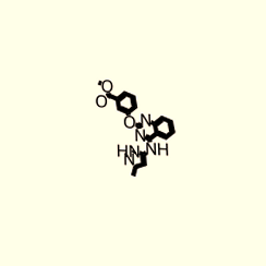 COC(=O)c1cccc(Oc2nc(Nc3cc(C)n[nH]3)c3ccccc3n2)c1